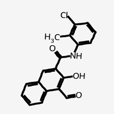 Cc1c(Cl)cccc1NC(=O)c1cc2ccccc2c(C=O)c1O